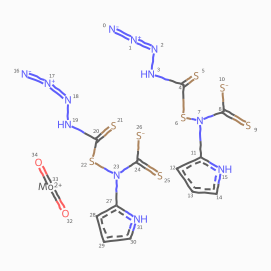 [N-]=[N+]=NNC(=S)SN(C(=S)[S-])c1ccc[nH]1.[N-]=[N+]=NNC(=S)SN(C(=S)[S-])c1ccc[nH]1.[O]=[Mo+2]=[O]